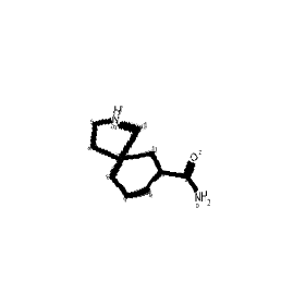 NC(=O)C1CCCC2(CCNC2)C1